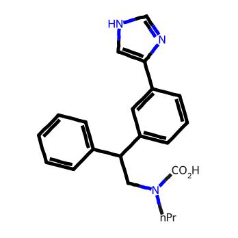 CCCN(CC(c1ccccc1)c1cccc(-c2c[nH]cn2)c1)C(=O)O